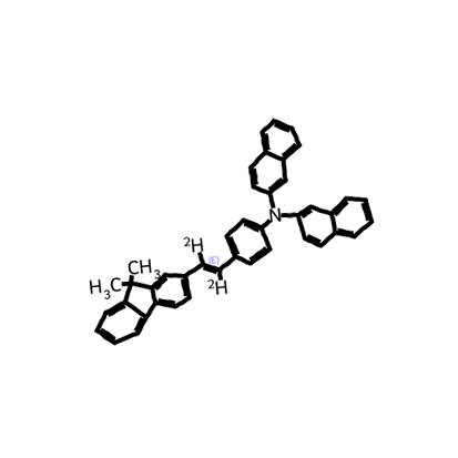 [2H]/C(=C(/[2H])c1ccc2c(c1)C(C)(C)c1ccccc1-2)c1ccc(N(c2ccc3ccccc3c2)c2ccc3ccccc3c2)cc1